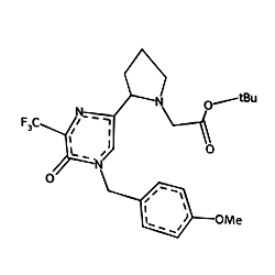 COc1ccc(Cn2cc(C3CCCN3CC(=O)OC(C)(C)C)nc(C(F)(F)F)c2=O)cc1